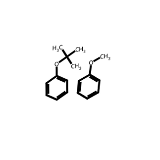 CC(C)(C)Oc1ccccc1.COc1ccccc1